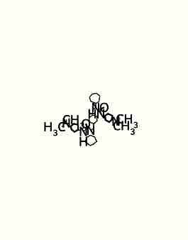 CN(C)c1ccc(NC(=O)N(CC2CCC(CN(C(=O)Nc3ccc(N(C)C)cc3)C3CCCCCC3)CC2)C2CCCCCC2)cc1